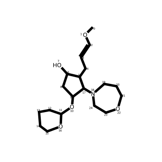 COC=CCC1C(O)CC(OC2CCCCO2)C1N1CCCOCC1